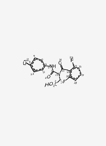 O=C(O)CN(C(=O)Nc1ccc(Cl)cc1)C(=O)c1c(F)cccc1F